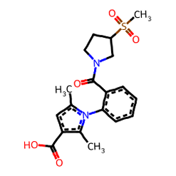 Cc1cc(C(=O)O)c(C)n1-c1ccccc1C(=O)N1CCC(S(C)(=O)=O)C1